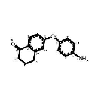 Nc1ccc(Oc2ccc3c(c2)CCCC3=O)cc1